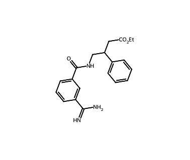 CCOC(=O)CC(CNC(=O)c1cccc(C(=N)N)c1)c1ccccc1